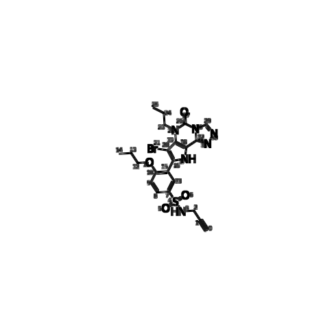 C#CCNS(=O)(=O)c1ccc(OCCC)c(-c2[nH]c3c(c2Br)n(CCC)c(=O)n2cnnc32)c1